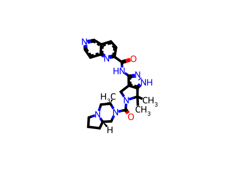 C[C@H]1CN2CCC[C@H]2CN1C(=O)N1Cc2c(NC(=O)c3ccc4cnccc4n3)n[nH]c2C1(C)C